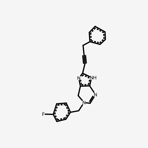 Fc1ccc(CN2C=Nc3[nH]c(C#CCc4ccccc4)nc3C2)cc1